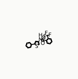 O=S(=O)(Nc1csc(-c2ccccc2)c1)c1ccccc1C(F)(F)F